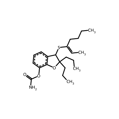 CC=C(CCCC)SC1c2cccc(OC(N)=O)c2OC1(CCC)CCC